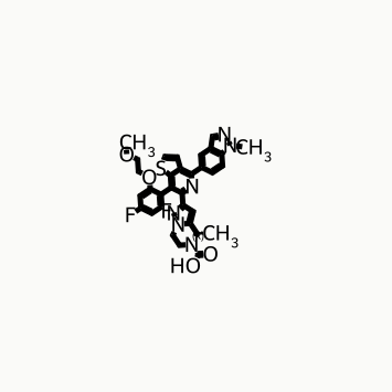 COCCOc1cc(F)cc(F)c1-c1c(-c2cc3n(n2)CCN(C(=O)O)[C@@H]3C)nc(-c2ccc3c(cnn3C)c2)c2ccsc12